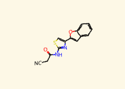 N#CCC(=O)Nc1nc(-c2cc3ccccc3o2)cs1